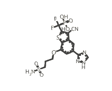 N#Cc1c(C(F)(F)P(=O)(O)O)sc2c(OCCCS(N)(=O)=O)cc(-c3nc[nH]n3)cc12